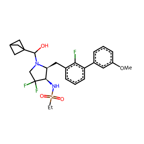 CCS(=O)(=O)N[C@@H]1[C@H](Cc2cccc(-c3cccc(OC)c3)c2F)N(C(O)C23CC(C2)C3)CC1(F)F